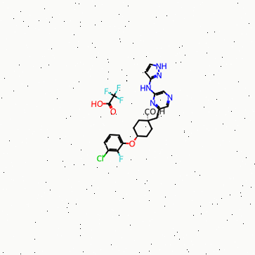 O=C(O)C(F)(F)F.O=C(O)[C@]1(Cc2cncc(Nc3cc[nH]n3)n2)CC[C@@H](Oc2cccc(Cl)c2F)CC1